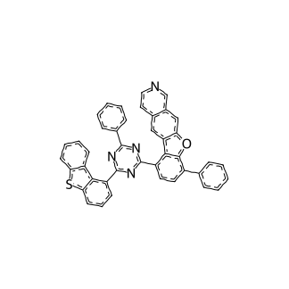 c1ccc(-c2nc(-c3cccc4sc5ccccc5c34)nc(-c3ccc(-c4ccccc4)c4oc5cc6cnccc6cc5c34)n2)cc1